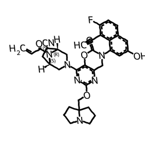 C#Cc1c(F)ccc2cc(O)cc(N3Cc4nc(OCC56CCCN5CCC6)nc(N5C[C@@H]6C[C@H](C#N)[C@H](C5)N6C(=O)C=C)c4OC3=O)c12